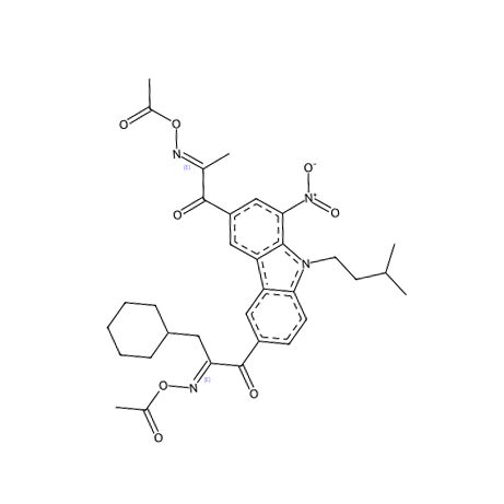 CC(=O)O/N=C(\C)C(=O)c1cc([N+](=O)[O-])c2c(c1)c1cc(C(=O)/C(CC3CCCCC3)=N/OC(C)=O)ccc1n2CCC(C)C